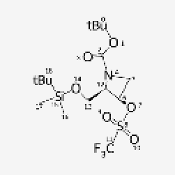 CC(C)(C)OC(=O)N1C[C@@H](OS(=O)(=O)C(F)(F)F)[C@H]1CO[Si](C)(C)C(C)(C)C